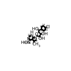 Cc1cn([C@@H]2O[C@H]([C@H](O)c3ccc(Cl)cc3)[C@@H](O)[C@H]2O)c2[nH]cn/c(=N\O)c12